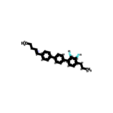 CCC/C=C/c1ccc(-c2ccc(-c3ccc(CCC)c(F)c3F)cc2)cc1